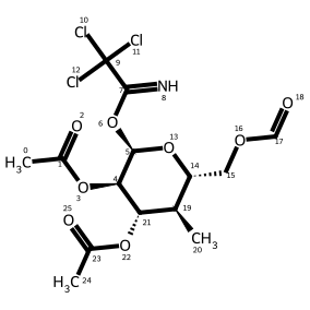 CC(=O)O[C@H]1[C@@H](OC(=N)C(Cl)(Cl)Cl)O[C@H](COC=O)[C@@H](C)[C@@H]1OC(C)=O